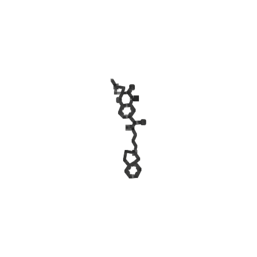 CN1CC2(C1)Oc1ccc(C(=O)NCCCN3CCc4ccccc4C3)cc1NC2=O